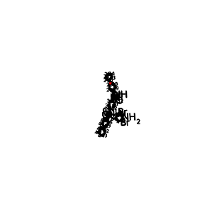 Nc1c(Br)cc(C[C@@H](NC(=O)N2CCC(n3cc(-c4ccc(-c5ccccc5)cc4)[nH]c3=O)CC2)C(=O)N2CCC(N3CCCCC3)CC2)cc1Br